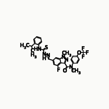 CC(C)c1ccccc1NC(=S)NN=Cc1cc(F)c2c(C(=O)N(C)c3ccc(OC(F)(F)F)cc3)nn(C)c2c1